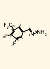 NN=Cc1cc(F)c(F)c(C(F)(F)F)c1